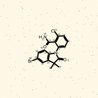 CC1(C)C(=O)N(c2cccc(Cl)c2C(N)=O)c2ccc(Br)cc21